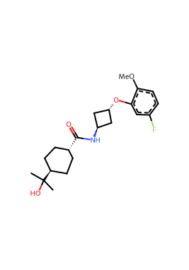 COc1ccc(F)cc1O[C@H]1C[C@H](NC(=O)[C@H]2CC[C@H](C(C)(C)O)CC2)C1